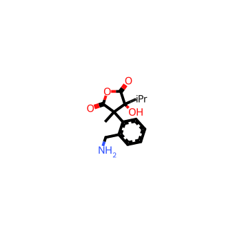 CC(C)C1(O)C(=O)OC(=O)C1(C)c1ccccc1CN